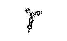 Fc1ccc(N2CCN(c3nc(N4CCOCC4)nc(N4CCOCC4)c3F)CC2)cc1